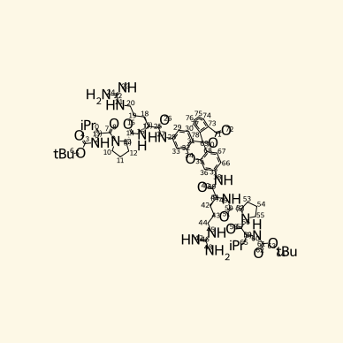 CC(C)[C@H](NC(=O)OC(C)(C)C)C(=O)N1CCC[C@H]1C(=O)N[C@@H](CCCNC(=N)N)C(=O)Nc1ccc2c(c1)Oc1cc(NC(=O)[C@H](CCCNC(=N)N)NC(=O)[C@@H]3CCCN3C(=O)[C@@H](NC(=O)OC(C)(C)C)C(C)C)ccc1C21OC(=O)c2ccccc21